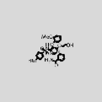 COc1ccccc1Oc1c(NS(=O)(=O)c2ccc(C(C)(C)C)cc2)ncnc1OCCO.NC(=O)c1ccccc1